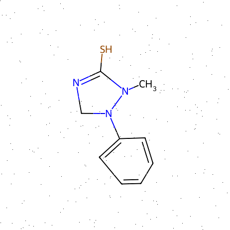 CN1C(S)=NCN1c1ccccc1